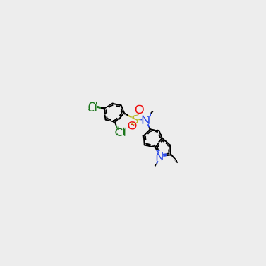 Cc1cc2cc(N(C)S(=O)(=O)c3ccc(Cl)cc3Cl)ccc2n1C